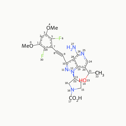 COc1cc(OC)c(F)c(C#Cc2nn([C@H]3CCN(C(=O)O)C3)c3c(C(C)O)cnc(N)c23)c1F